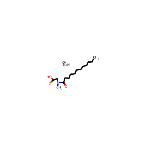 CCCCCCCCCCCC(=O)N(C)CC(=O)O.[KH].[NaH]